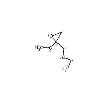 CCOCC1(OC)CO1